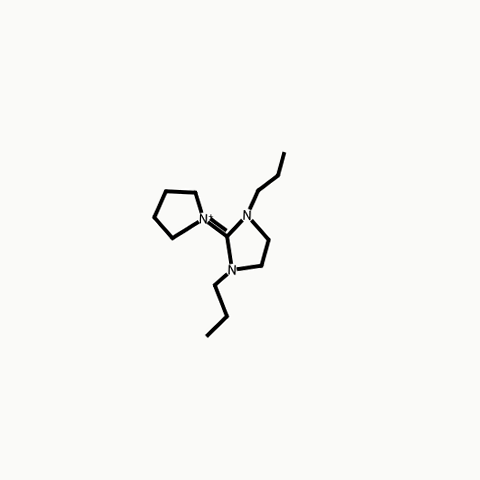 CCCN1CCN(CCC)C1=[N+]1CCCC1